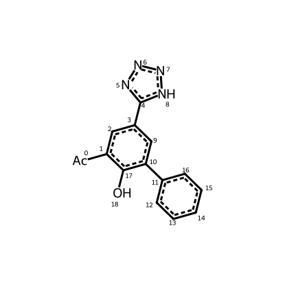 CC(=O)c1cc(-c2nnn[nH]2)cc(-c2ccccc2)c1O